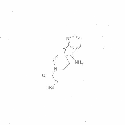 CC(C)(C)OC(=O)N1CCC2(CC1)Oc1ncccc1C2N